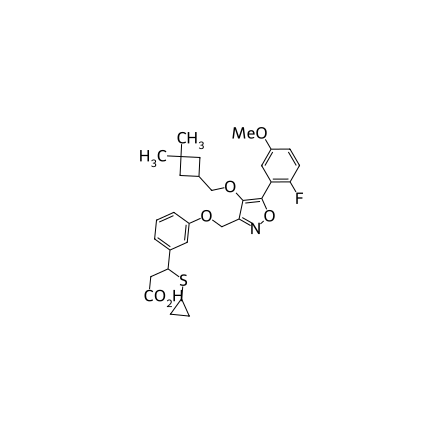 COc1ccc(F)c(-c2onc(COc3cccc(C(CC(=O)O)SC4CC4)c3)c2OCC2CC(C)(C)C2)c1